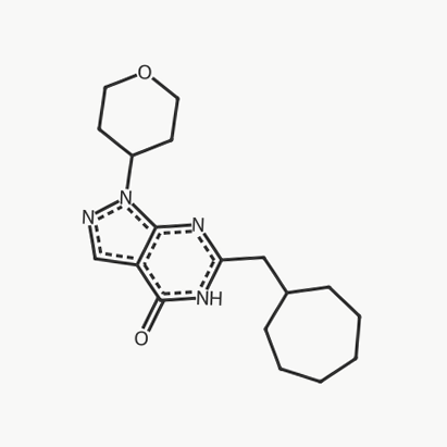 O=c1[nH]c(CC2CCCCCC2)nc2c1cnn2C1CCOCC1